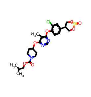 Cc1c(Oc2ccc(C3COS(=O)OC3)cc2Cl)ncnc1OC1CCN(C(=O)OCC(C)C)CC1